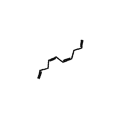 C=CC/C=C\C=C/CC=C